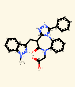 Cn1nc(CC2C(=O)N(CC(=O)O)c3ccccc3-n3c(-c4ccccc4)nnc32)c2ccccc21